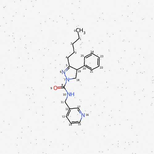 CCCCCC1=NN(C(=O)NCc2cccnc2)CC1c1ccccc1